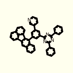 c1ccc(-c2nc(-c3ccccc3)nc(-c3cc(-c4cccnc4)cc(-c4c5c(cc6ccccc46)-c4cccc6cccc-5c46)c3)n2)cc1